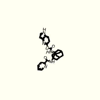 O=C(NC12CC3CC(C1)CC(NC(=O)c1ccccn1)(C3)C2)Oc1ccc2[nH]ccc2n1